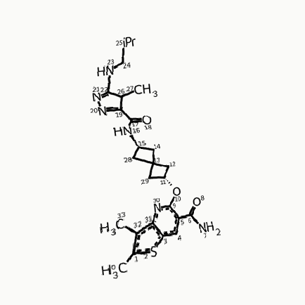 Cc1sc2cc(C(N)=O)c(O[C@H]3CC4(C[C@H](NC(=O)C5=NN=C(NCC(C)C)C5C)C4)C3)nc2c1C